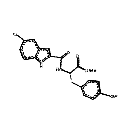 COC(=O)[C@H](Cc1ccc(OC)cc1)NC(=O)c1cc2cc(Cl)ccc2[nH]1